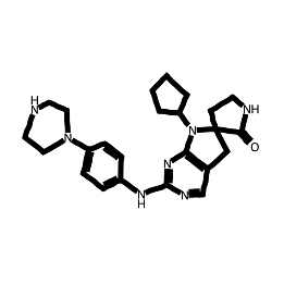 O=C1NCCC12Cc1cnc(Nc3ccc(N4CCNCC4)cc3)nc1N2C1CCCC1